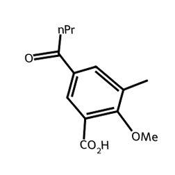 CCCC(=O)c1cc(C)c(OC)c(C(=O)O)c1